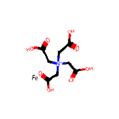 O=C(O)C[N+](CC(=O)O)(CC(=O)O)CC(=O)O.[Fe]